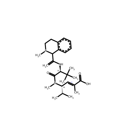 C=C(N[C@H](C(=O)N(C)[C@H](/C=C(\C)C(=O)O)C(C)C)C(C)(C)C)C1c2ccccc2CCN1C